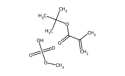 C=C(C)C(=O)OC(C)(C)C.COS(=O)(=O)O